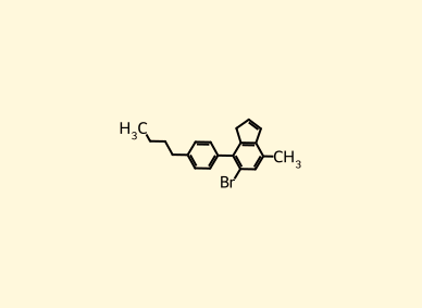 CCCCc1ccc(-c2c(Br)cc(C)c3c2CC=C3)cc1